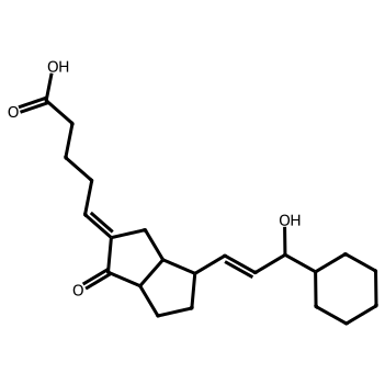 O=C(O)CCCC=C1CC2C(C=CC(O)C3CCCCC3)CCC2C1=O